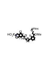 CCCCCCOCCC(OC)c1cccc(-c2csc(NC(=O)c3cc(Cl)c(/C=C(\C)C(=O)O)c(Cl)c3)n2)c1F